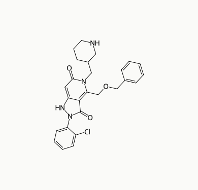 O=c1c2c(COCc3ccccc3)n(CC3CCCNC3)c(=O)cc2[nH]n1-c1ccccc1Cl